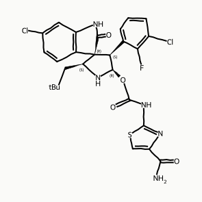 CC(C)(C)C[C@@H]1N[C@H](OC(=O)Nc2nc(C(N)=O)cs2)[C@H](c2cccc(Cl)c2F)[C@]12C(=O)Nc1cc(Cl)ccc12